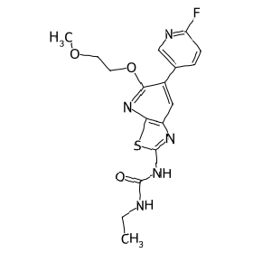 CCNC(=O)Nc1nc2cc(-c3ccc(F)nc3)c(OCCOC)nc2s1